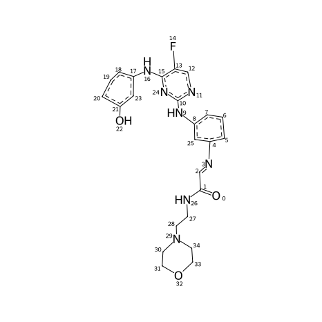 O=C(C=Nc1cccc(Nc2ncc(F)c(Nc3cccc(O)c3)n2)c1)NCCN1CCOCC1